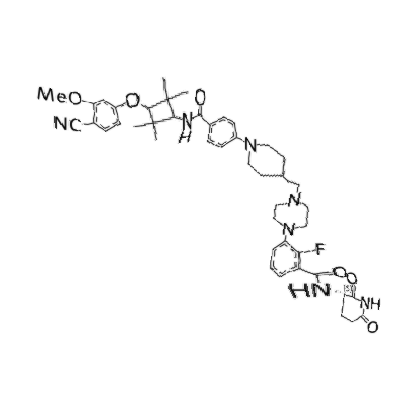 COc1cc(OC2C(C)(C)C(NC(=O)c3ccc(N4CCC(CN5CCN(c6cccc(C(=O)N[C@H]7CCC(=O)NC7=O)c6F)CC5)CC4)cc3)C2(C)C)ccc1C#N